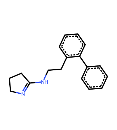 c1ccc(-c2ccccc2CCNC2=NCCC2)cc1